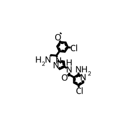 COc1cc(Cl)cc(C(CN)n2cc(NC(=O)c3cc(Cl)cnc3N)cn2)c1